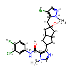 Cn1cnc(C2CC3CC(O)(Cc4c(Br)cnn4C)CC3C2)c1C(=O)Nc1ccc(F)c(Cl)c1